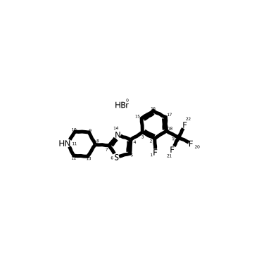 Br.Fc1c(-c2csc(C3CCNCC3)n2)cccc1C(F)(F)F